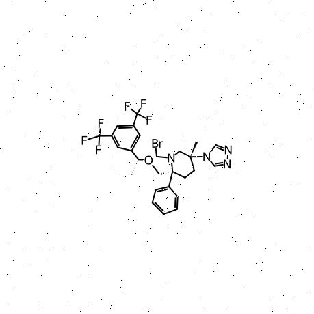 C[C@@H](OC[C@@]1(c2ccccc2)CC[C@@](C)(n2cnnc2)CN1CBr)c1cc(C(F)(F)F)cc(C(F)(F)F)c1